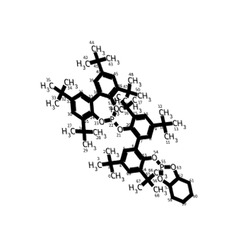 CC(C)(C)c1cc(-c2cc(C(C)(C)C)cc(C(C)(C)C)c2Op2oc3c(C(C)(C)C)cc(C(C)(C)C)cc3c3cc(C(C)(C)C)cc(C(C)(C)C)c3o2)c(OP2OC3CCCCC3O2)c(C(C)(C)C)c1